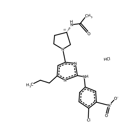 CCCc1cc(N2CC[C@H](NC(C)=O)C2)nc(Nc2ccc(Cl)c([N+](=O)[O-])c2)n1.Cl